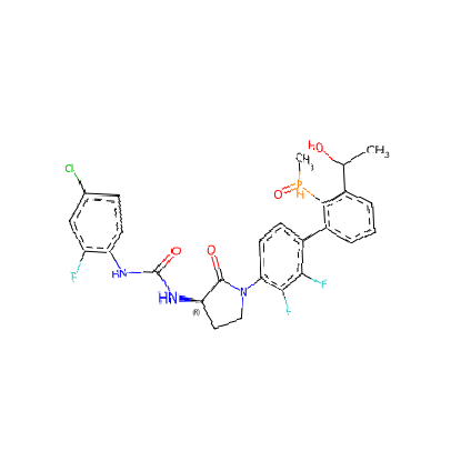 CC(O)c1cccc(-c2ccc(N3CC[C@@H](NC(=O)Nc4ccc(Cl)cc4F)C3=O)c(F)c2F)c1[PH](C)=O